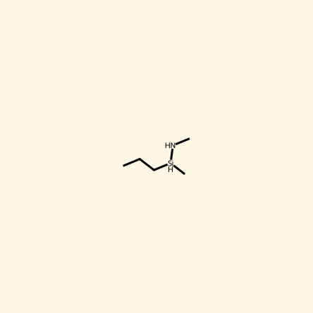 CCC[SiH](C)NC